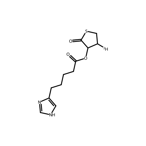 [2H]C1CSC(=O)C1OC(=O)CCCCc1c[nH]cn1